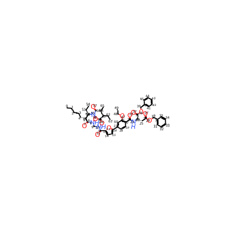 CCCCC[C@@H](C(=O)NCNC(=O)c1ccc(-c2ccc(C(=O)N[C@@H](CC(=O)OCc3ccccc3)C(=O)OCc3ccccc3)c(OCC)c2)o1)[C@@H](CC)N(C=O)OC(=O)C(CC)CC